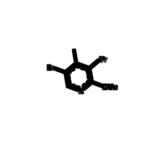 COc1ncc(Br)c(C)c1C(C)C